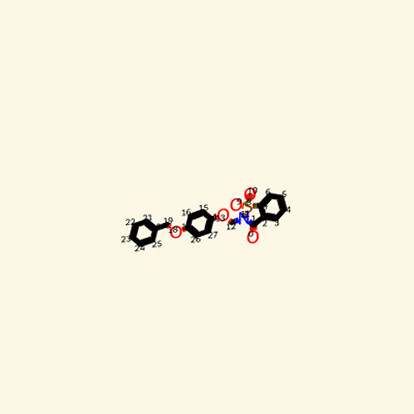 O=C1c2ccccc2S(=O)(=O)N1COc1ccc(OCc2ccccc2)cc1